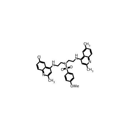 COc1ccc(S(=O)(=O)N(CCNc2cc(C)nc3ccc(C)cc23)CCNc2cc(C)nc3ccc(Cl)cc23)cc1